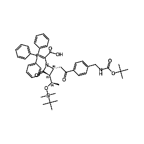 C[C@@H](O[Si](C)(C)C(C)(C)C)[C@H]1C(=O)N(C(C(=O)O)=P(c2ccccc2)(c2ccccc2)c2ccccc2)[C@@H]1CC(=O)c1ccc(CNC(=O)OC(C)(C)C)cc1